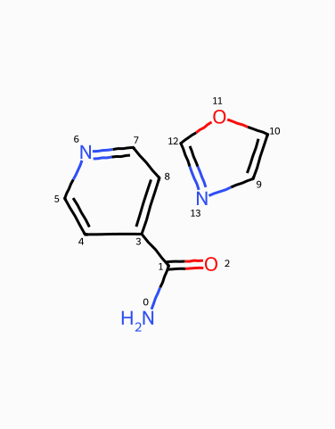 NC(=O)c1ccncc1.c1cocn1